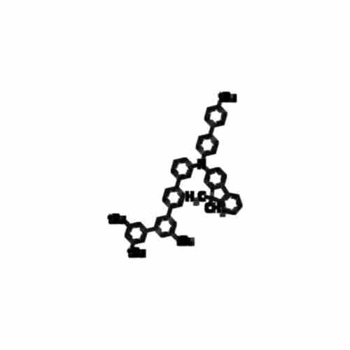 CC(C)(C)c1ccc(-c2ccc(N(c3cccc(-c4ccc(-c5cc(-c6cc(C(C)(C)C)cc(C(C)(C)C)c6)cc(C(C)(C)C)c5)cc4)c3)c3ccc4c(c3)C(C)(C)c3ccccc3-4)cc2)cc1